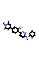 Cc1cc(-c2ccc(-c3ccc(N(C)C4CCCCC4)nn3)c(O)c2)cc(=O)n1C